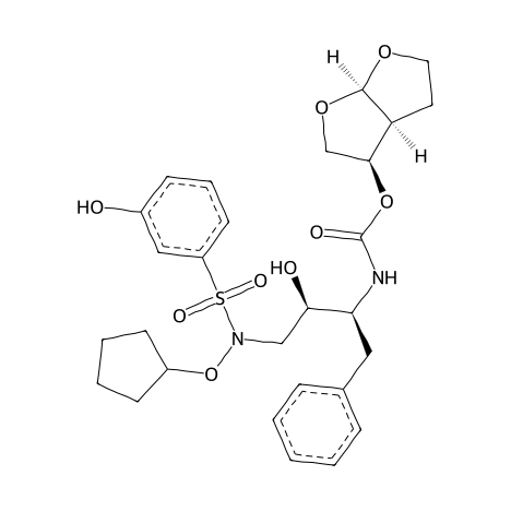 O=C(N[C@@H](Cc1ccccc1)[C@H](O)CN(OC1CCCC1)S(=O)(=O)c1cccc(O)c1)O[C@H]1CO[C@H]2OCC[C@H]21